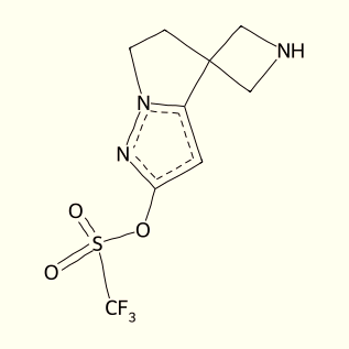 O=S(=O)(Oc1cc2n(n1)CCC21CNC1)C(F)(F)F